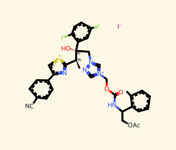 CC(=O)OCC(NC(=O)OC[n+]1cnn(C[C@](O)(c2cc(F)ccc2F)[C@@H](C)c2nc(-c3ccc(C#N)cc3)cs2)c1)c1ccccc1C.[I-]